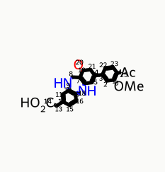 COc1cc(C2=CC3=C(CNc4cc(CC(=O)O)ccc4N3)C(=O)C2)ccc1C(C)=O